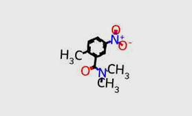 Cc1ccc([N+](=O)[O-])cc1C(=O)N(C)C